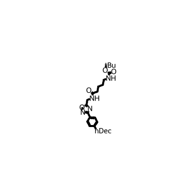 CCCCCCCCCCc1ccc(-c2noc(CNC(=O)CCCCNC(=O)OC(C)(C)C)n2)cc1